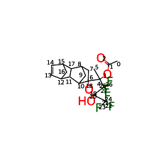 CC(=O)OC1(C)C2(CC3CC2C2C4C=CC(C4)C32)OC(O)(C(F)(F)F)C1(F)F